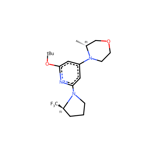 C[C@@H]1COCCN1c1cc(OC(C)(C)C)nc(N2CCC[C@H]2C(F)(F)F)c1